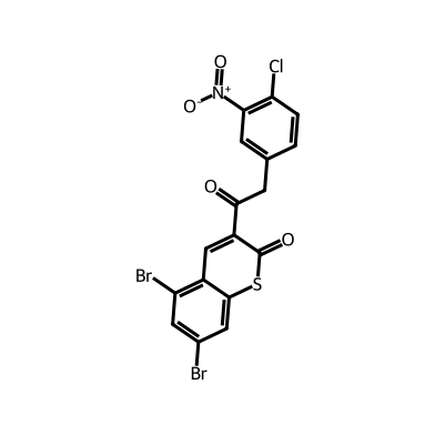 O=C(Cc1ccc(Cl)c([N+](=O)[O-])c1)c1cc2c(Br)cc(Br)cc2sc1=O